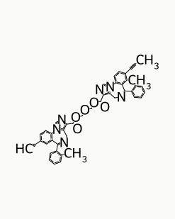 C#Cc1ccc2c(c1)C(c1ccccc1C)=NCc1c(C(=O)OCOCOC(=O)c3ncn4c3CN=C(c3ccccc3C)c3cc(C#CC)ccc3-4)ncn1-2